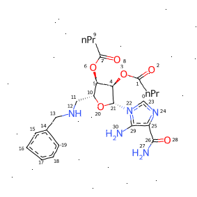 CCCC(=O)O[C@@H]1[C@H](OC(=O)CCC)[C@@H](CNCc2ccccc2)O[C@H]1n1cnc(C(N)=O)c1N